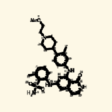 COCCN1CCC(c2ccc(Nc3nc(Nc4cccc(C)c4S(N)(=O)=O)cc4cc[nH]c(=O)c34)cc2C)CC1